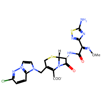 CO/N=C(\C(=O)N[C@@H]1C(=O)N2C(C(=O)[O-])=C(Cn3cc[n+]4nc(Cl)ccc34)CS[C@H]12)c1nsc(N)n1